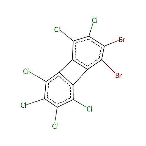 Clc1c(Cl)c(Cl)c2c(c1Cl)-c1c(Cl)c(Cl)c(Br)c(Br)c1-2